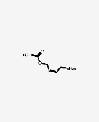 CCCCCCCCCC/C=C\COC(=O)CCCCCCCC